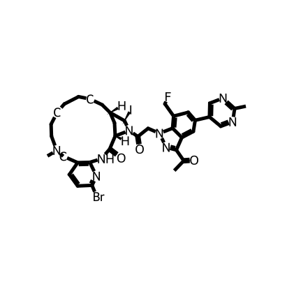 CC(=O)c1nn(CC(=O)N2[C@H](I)[C@H]3CCCCCCCN(C)Cc4ccc(Br)nc4NC(=O)[C@@H]2C3)c2c(CF)cc(-c3cnc(C)nc3)cc12